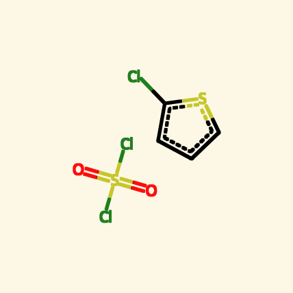 Clc1cccs1.O=S(=O)(Cl)Cl